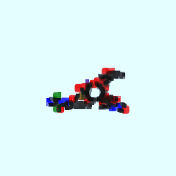 COc1ccc(C(=O)Nc2c(Cl)cncc2Cl)cc1OCCS[C@@H]1C(=O)O[C@@]2(C)[C@H]1[C@@H](C)C(=O)[C@H](C)C[C@@](C)(OC)[C@H](O[C@@H]1O[C@H](C)C[C@H](N(C)C(=O)N3CCOCC3)[C@H]1O)[C@@H](C)[C@H](O[C@H]1C[C@@](C)(OC)[C@@H](O)[C@H](C)O1)[C@@H](C)C(=O)O[C@@H]2I